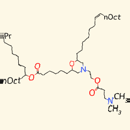 CCCCCCCC/C=C\CCCCCCC1CN(CCOC(=O)CCN(C)C)CC(CCCCCC(=O)OC(CCCCCCCC)CCCCCCC(C)C)O1